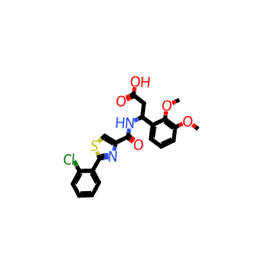 COc1cccc(C(CC(=O)O)NC(=O)c2csc(-c3ccccc3Cl)n2)c1OC